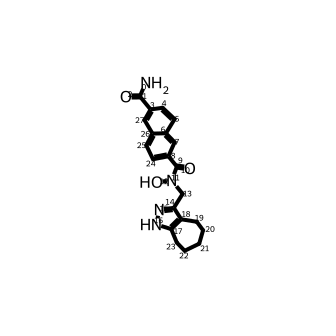 NC(=O)c1ccc2cc(C(=O)N(O)Cc3n[nH]c4c3CCCCC4)ccc2c1